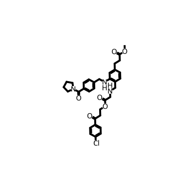 COC(=O)CCc1ccc(CNCC(=O)OCCC(=O)c2ccc(Cl)cc2)c(NCc2ccc(C(=O)N3CCCC3)cc2)c1